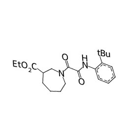 CCOC(=O)C1CCCCN(C(=O)C(=O)Nc2ccccc2C(C)(C)C)C1